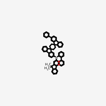 CC1(C)c2ccccc2-c2ccc(N(c3ccc4c(c3)C3(CCC5(CC3)c3ccccc3-c3ccc(-c6ccccc6)cc35)c3ccccc3-4)c3ccccc3-c3ccccc3)cc21